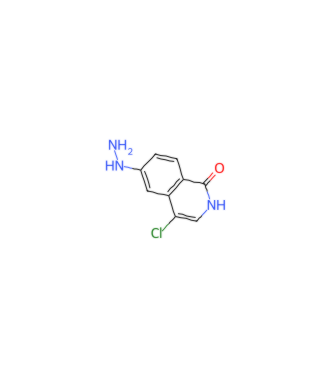 NNc1ccc2c(=O)[nH]cc(Cl)c2c1